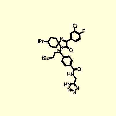 CC(C)C1CCC2(CC1)N=C(c1ccc(F)c(Cl)c1)C(=O)N2[C@H](CCC(C)(C)C)c1ccc(C(=O)NCc2nnn[nH]2)cc1